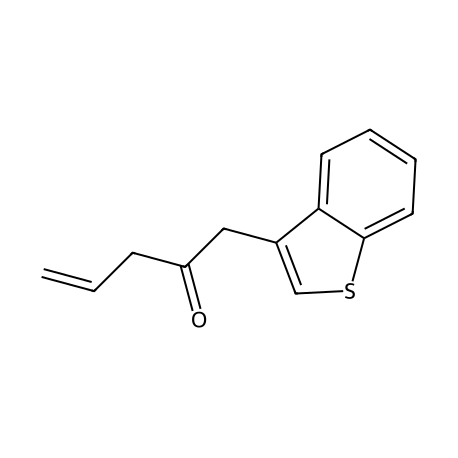 C=CCC(=O)Cc1csc2ccccc12